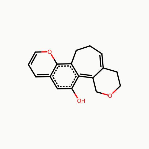 Oc1cc2c(c3c1=C1COCCC1=CCC3)OC=CC=2